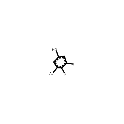 CC(=O)c1cc(O)cc(F)c1F